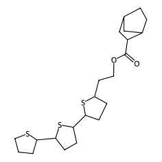 O=C(OCCC1CCC(C2CCC(C3CCCS3)S2)S1)C1CC2CCC1C2